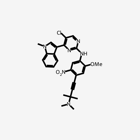 COc1cc(C#CC(C)(C)N(C)C)c([N+](=O)[O-])cc1Nc1ncc(Cl)c(-c2cn(C)c3ccccc23)n1